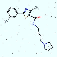 Cc1nc(-c2cccc(C(F)(F)F)c2)sc1C(=O)NCCCCN1CCCC1